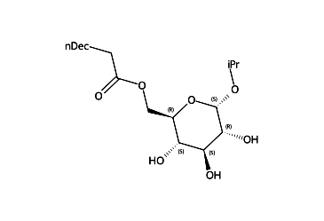 CCCCCCCCCCCC(=O)OC[C@H]1O[C@H](OC(C)C)[C@H](O)[C@@H](O)[C@@H]1O